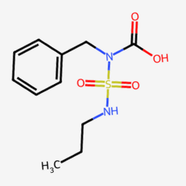 CCCNS(=O)(=O)N(Cc1ccccc1)C(=O)O